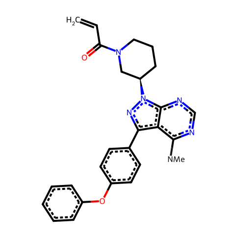 C=CC(=O)N1CCC[C@@H](n2nc(-c3ccc(Oc4ccccc4)cc3)c3c(NC)ncnc32)C1